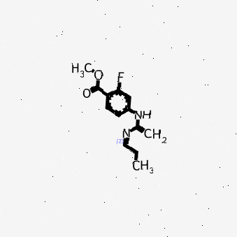 C=C(/N=C\CC)Nc1ccc(C(=O)OC)c(F)c1